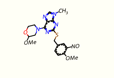 COc1ccc(CSc2nc(N3CCOC(OC)C3)c3ncn(C)c3n2)cc1N=O